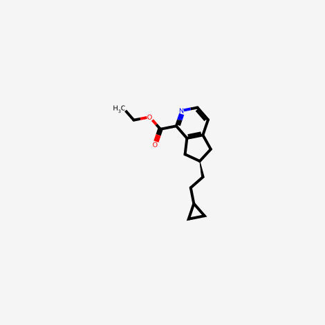 CCOC(=O)c1nccc2c1C[C@H](CCC1CC1)C2